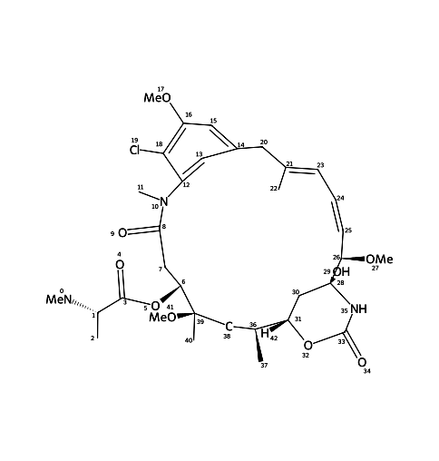 CN[C@@H](C)C(=O)O[C@H]1CC(=O)N(C)c2cc(cc(OC)c2Cl)C/C(C)=C/C=C/[C@@H](OC)[C@@]2(O)C[C@H](OC(=O)N2)[C@@H](C)C[C@@]1(C)OC